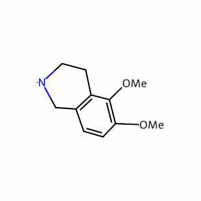 COc1ccc2c(c1OC)CC[N]C2